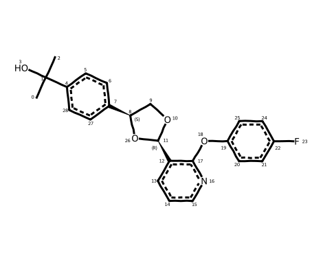 CC(C)(O)c1ccc([C@H]2CO[C@@H](c3cccnc3Oc3ccc(F)cc3)O2)cc1